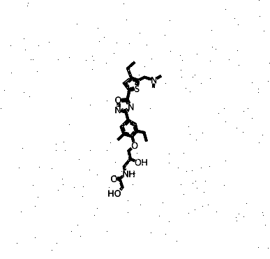 CCc1cc(-c2nc(-c3cc(C)c(OCC(O)CNC(=O)CO)c(CC)c3)no2)sc1CN(C)C